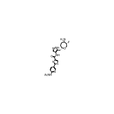 CC(=O)Nc1ccc(-c2nc(C(=O)Nc3cn[nH]c3C[C@@H]3CC[C@@H](N)[C@H](F)CO3)cs2)cn1